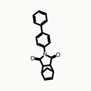 O=C1C2C3C=CC(C3)C2C(=O)N1c1ccc(-c2ccccc2)cc1